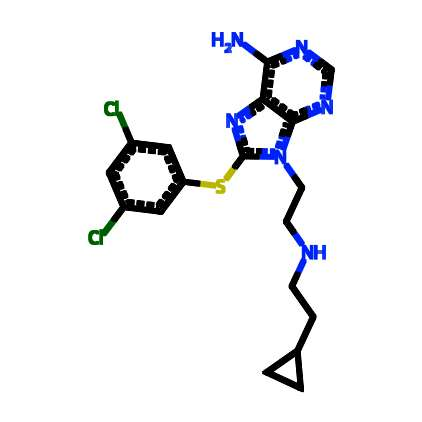 Nc1ncnc2c1nc(Sc1cc(Cl)cc(Cl)c1)n2CCNCCC1CC1